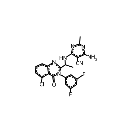 Cc1nc(N)c(C#N)c(NC(C)c2nc3cccc(Cl)c3c(=O)n2-c2cc(F)cc(F)c2)n1